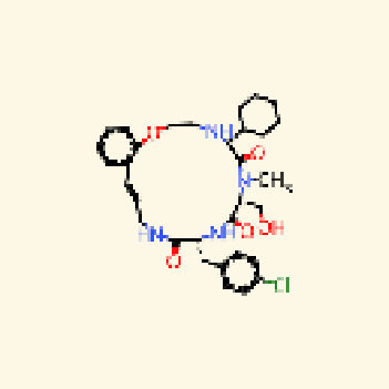 CN1C(=O)[C@H](C2CCCCC2)NCCOc2ccccc2/C=C/CNC(=O)[C@@H](Cc2ccc(Cl)cc2)NC(=O)[C@@H]1CO